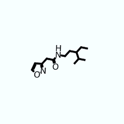 CCC(CCNC(=O)Cc1ccon1)C(C)C